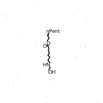 CCCCCC=CCCOC(=O)CCCCCCCNCCO